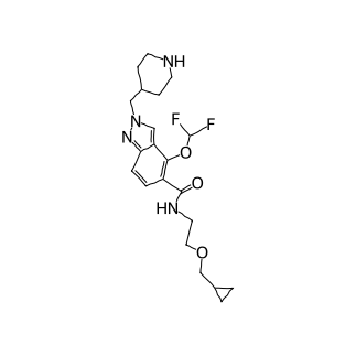 O=C(NCCOCC1CC1)c1ccc2nn(CC3CCNCC3)cc2c1OC(F)F